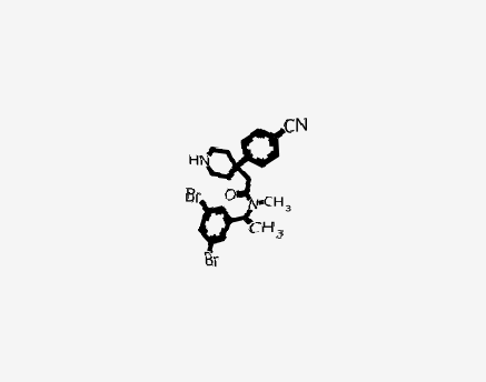 CC(c1cc(Br)cc(Br)c1)N(C)C(=O)CC1(c2ccc(C#N)cc2)CCNCC1